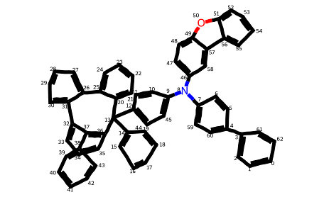 c1ccc(-c2ccc(N(c3ccc(C4(c5ccccc5)c5ccccc5-c5ccccc5-c5cccc4c5-c4ccccc4)cc3)c3ccc4oc5ccccc5c4c3)cc2)cc1